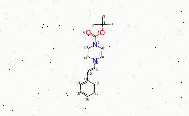 CC(C)(C)OC(=O)N1CCN(C=Cc2ccccc2)CC1